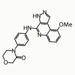 COc1cccc2nc(Nc3ccc(N4CCOCC4=O)cc3)c3[nH]ncc3c12